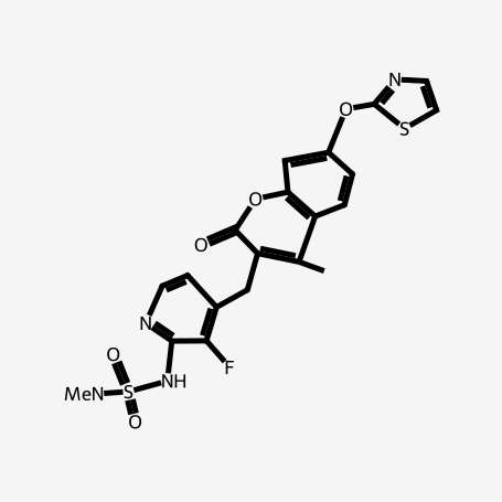 CNS(=O)(=O)Nc1nccc(Cc2c(C)c3ccc(Oc4nccs4)cc3oc2=O)c1F